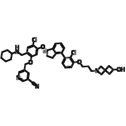 N#Cc1cncc(COc2cc(O[C@H]3CCc4c(-c5cccc(OCCCN6CC7(CC(O)C7)C6)c5Cl)cccc43)c(Cl)cc2CNC2CCCCC2)c1